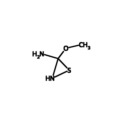 COC1(N)NS1